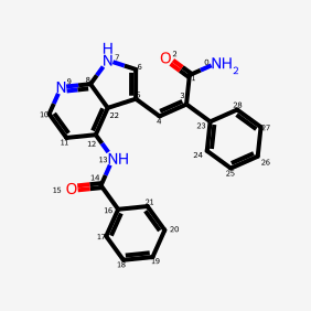 NC(=O)C(=Cc1c[nH]c2nccc(NC(=O)c3ccccc3)c12)c1ccccc1